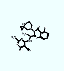 CC(Nc1nc(N)nc(N)c1C#N)c1nc2cccc(Cl)c2c(=O)n1N1CCNC2(CC2)C1